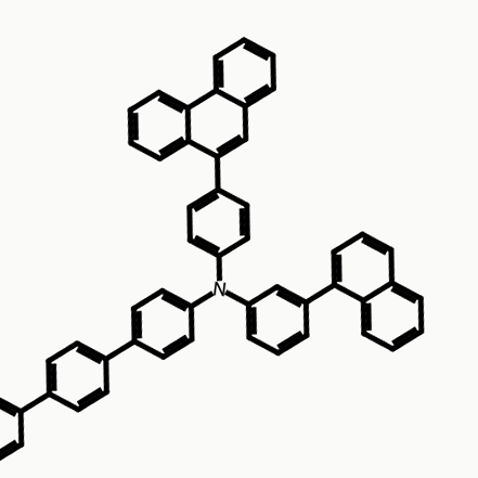 c1ccc(-c2ccc(-c3ccc(N(c4ccc(-c5cc6ccccc6c6ccccc56)cc4)c4cccc(-c5cccc6ccccc56)c4)cc3)cc2)cc1